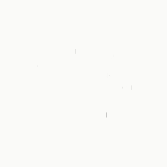 OB(O)c1c(Cl)ccc(Br)c1F